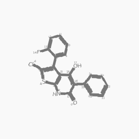 O=c1[nH]c2sc(Cl)c(-c3ccccc3F)c2c(O)c1-c1ccccc1